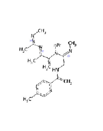 C=C(NC/C(=N/C)N(CCC)C(=C)/C(C)=N/C(C)=N\C)c1ccc(C)cc1